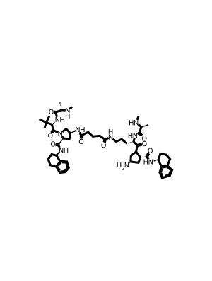 CN[C@@H](C)C(=O)N[C@@H](CCCNC(=O)CCCC(=O)N[C@H]1C[C@@H](C(=O)N[C@@H]2CCCc3ccccc32)N(C(=O)[C@@H](NC(=O)[C@H](C)NC)C(C)(C)C)C1)C(=O)C1C[C@@H](N)C[C@H]1C(=O)N[C@@H]1CCCc2ccccc21